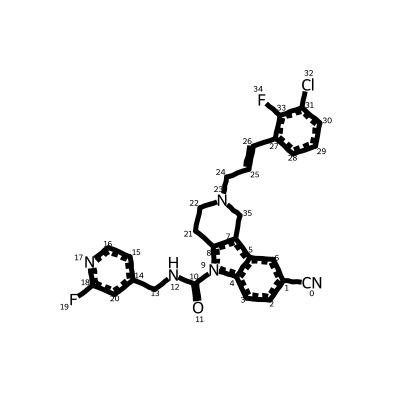 N#Cc1ccc2c(c1)c1c(n2C(=O)NCc2ccnc(F)c2)CCN(CC=Cc2cccc(Cl)c2F)C1